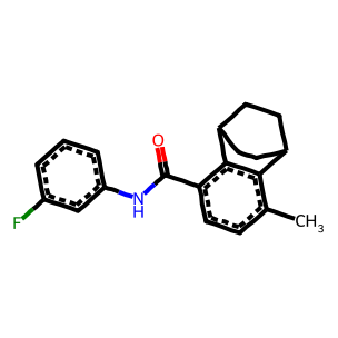 Cc1ccc(C(=O)Nc2cccc(F)c2)c2c1C1CCC2CC1